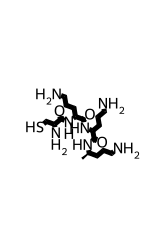 C[C@H](CCCN)NC(=O)C(CCCN)NC(=O)C(CCCN)NC(=O)C(N)CS